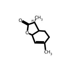 CC1=CC2OC(=O)[C@H](C)C2CC1